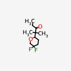 CCC(=O)C(C)(C)C1CCC(F)(F)CO1